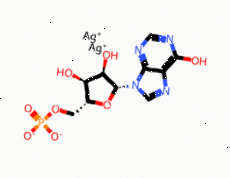 O=P([O-])([O-])OC[C@H]1O[C@@H](n2cnc3c(O)ncnc32)[C@H](O)[C@@H]1O.[Ag+].[Ag+]